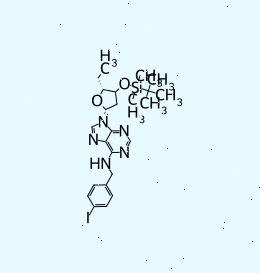 CC[C@H]1O[C@@H](n2cnc3c(NCc4ccc(I)cc4)ncnc32)CC1O[Si](C)(C)C(C)(C)C